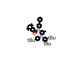 Cc1cc2c3c(c1)N(c1ccc(-c4ccccc4)cc1)c1c(oc4cc5c(cc14)C(C)(C)CCC5(C)C)B3c1cc(C(C)(C)C)ccc1N2c1cc(C(C)(C)C)cc(C(C)(C)C)c1